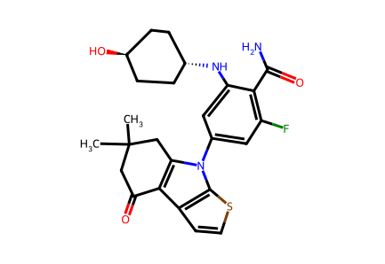 CC1(C)CC(=O)c2c(n(-c3cc(F)c(C(N)=O)c(N[C@H]4CC[C@H](O)CC4)c3)c3sccc23)C1